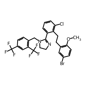 COc1ccc(Br)cc1CCc1c(Cl)cccc1C1=NCCN1Cc1ccc(C(F)(F)F)cc1C(F)(F)F